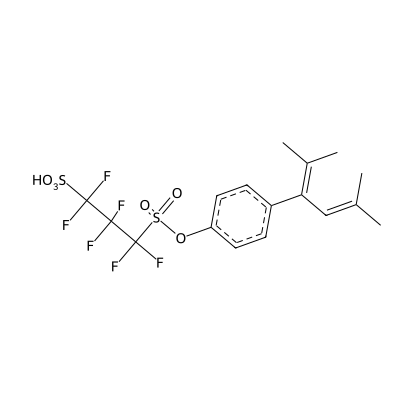 CC(C)=CC(=C(C)C)c1ccc(OS(=O)(=O)C(F)(F)C(F)(F)C(F)(F)S(=O)(=O)O)cc1